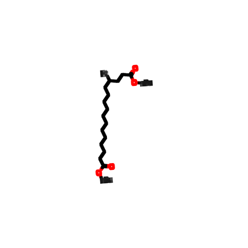 CCCCOC(=O)CCCCCCCCCCCC(CC)CCC(=O)OCCCC